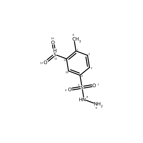 Cc1ccc(S(=O)(=O)NN)cc1[SH](=O)=O